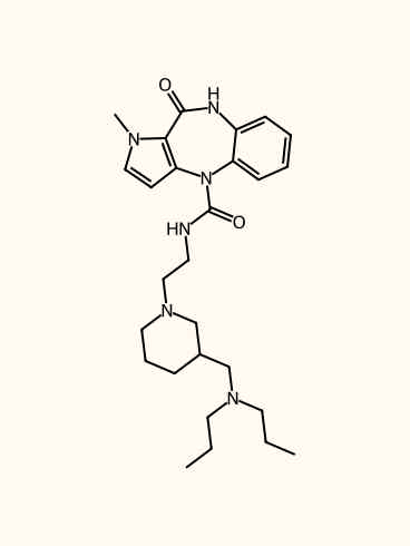 CCCN(CCC)CC1CCCN(CCNC(=O)N2c3ccccc3NC(=O)c3c2ccn3C)C1